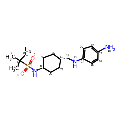 CC(C)(C)S(=O)(=O)N[C@H]1CC[C@H](CNc2ccc(N)cc2)CC1